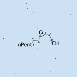 C#CC[C@@H]1O[C@H]1CCCCCCC